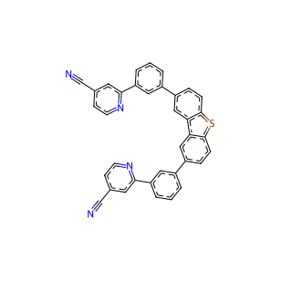 N#Cc1ccnc(-c2cccc(-c3ccc4sc5ccc(-c6cccc(-c7cc(C#N)ccn7)c6)cc5c4c3)c2)c1